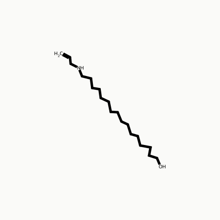 C=CCNCCCCCCCCCCCCCCCCO